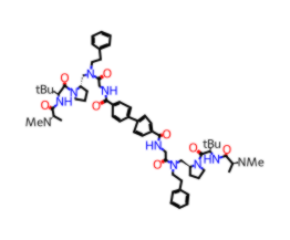 CN[C@@H](C)C(=O)N[C@H](C(=O)N1CCC[C@H]1CN(CCc1ccccc1)C(=O)CNC(=O)c1ccc(-c2ccc(C(=O)NCC(=O)N(CCc3ccccc3)C[C@@H]3CCCN3C(=O)[C@@H](NC(=O)[C@H](C)NC)C(C)(C)C)cc2)cc1)C(C)(C)C